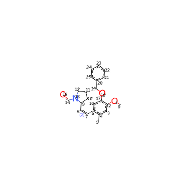 COc1cc(C)c(/C=C\C2CCCN2C=O)cc1OCc1ccccc1